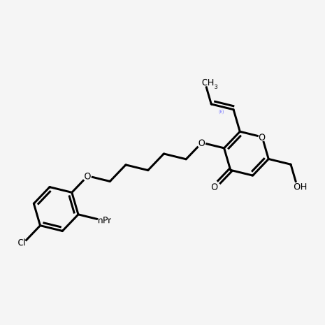 C/C=C/c1oc(CO)cc(=O)c1OCCCCCOc1ccc(Cl)cc1CCC